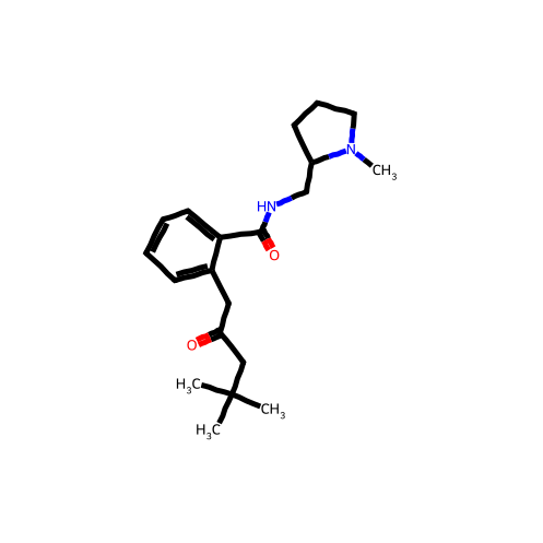 CN1CCCC1CNC(=O)c1ccccc1CC(=O)CC(C)(C)C